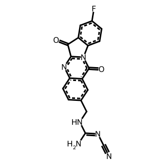 N#CN=C(N)NCc1ccc2nc3n(c(=O)c2c1)-c1ccc(F)cc1C3=O